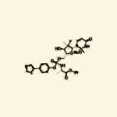 COC1(C)NC(=O)C=CN1[C@@H]1O[C@H](COP(=O)(N[C@@H](C)C(=O)OC(C)C)Oc2ccc(-c3cncs3)cc2)[C@@H](O)[C@@]1(C)F